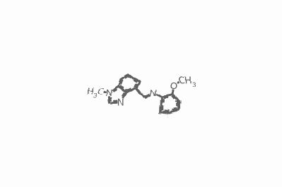 COc1ccccc1N=Cc1cccc2c1ncn2C